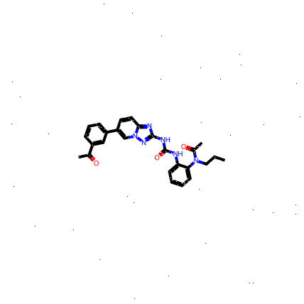 CCCN(C(C)=O)c1ccccc1NC(=O)Nc1nc2ccc(-c3cccc(C(C)=O)c3)cn2n1